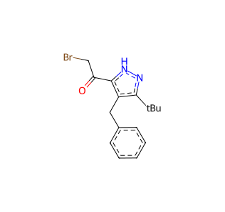 CC(C)(C)c1n[nH]c(C(=O)CBr)c1Cc1ccccc1